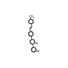 Cc1ccc(C=Cc2ccc(-c3ccc(-c4cccc(F)c4)c(F)c3)cc2)cc1